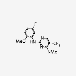 CNc1nc(Nc2cc(F)[c]cc2OC)ncc1C(F)(F)F